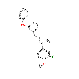 CCOc1ccc(C(=CCCc2cccc(Oc3ccccc3)c2)C(F)(F)F)cc1F